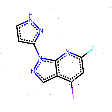 Fc1cc(I)c2cnn(-c3cc[nH]n3)c2n1